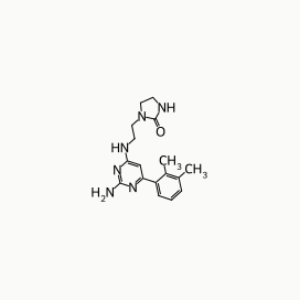 Cc1cccc(-c2cc(NCCN3CCNC3=O)nc(N)n2)c1C